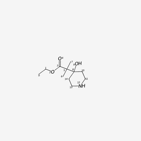 CCOC(=O)C(C)(C)C1(O)CCNCC1